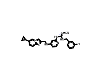 N#C/N=C(\NCc1cccc(Cl)c1)Nc1cc(NCc2cn3cc(C4CC4)ccc3n2)ccn1